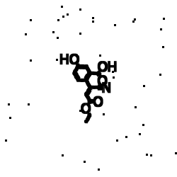 CCOC(=O)C=C(C#N)c1ccc(O)cc1C(=O)O